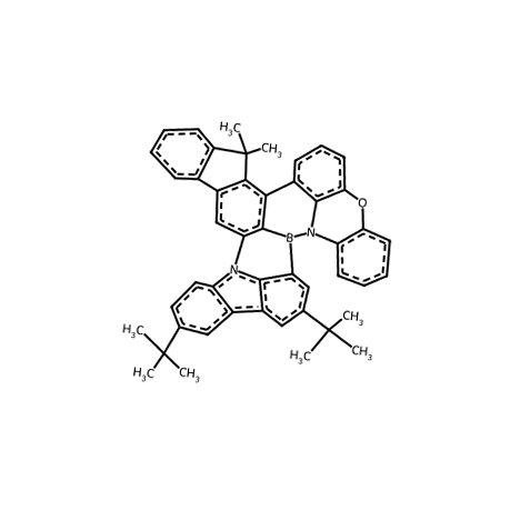 CC(C)(C)c1ccc2c(c1)c1cc(C(C)(C)C)cc3c1n2-c1cc2c(c4c1B3N1c3ccccc3Oc3cccc-4c31)C(C)(C)c1ccccc1-2